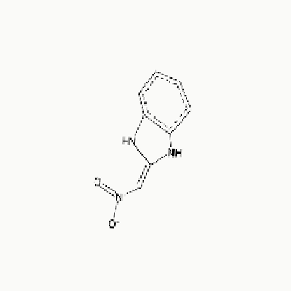 O=[N+]([O-])C=C1Nc2ccccc2N1